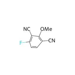 COc1c(C#N)ccc(F)c1C#N